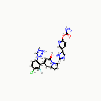 NC(=O)Oc1ccc(-c2cnc([C@@H]3CCC4CC(c5c(-n6cnnn6)ccc(Cl)c5F)=CC(=O)N43)[nH]2)cn1